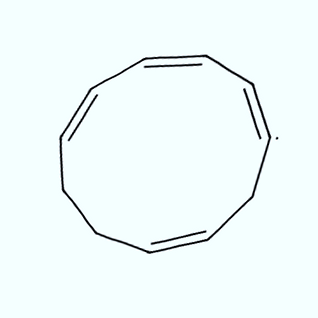 [C]1=CC=CC=CCCC=CC1